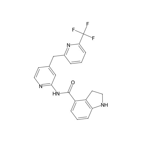 O=C(Nc1cc(Cc2cccc(C(F)(F)F)n2)ccn1)c1cccc2c1CCN2